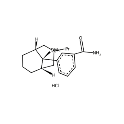 CO[C@]1(c2cccc(C(N)=O)c2)[C@@H]2CCC[C@H]1CN(C(C)C)C2.Cl